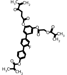 C=C(C)C(=O)CCC(=O)Oc1cc(OC(=O)COC(=O)C(=C)C)cc(-c2ccc(-c3ccc(OC(=O)C(=C)C)cc3)c(F)c2)c1